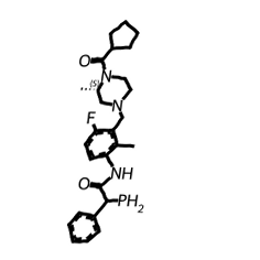 Cc1c(NC(=O)C(P)c2ccccc2)ccc(F)c1CN1CCN(C(=O)C2CCCC2)[C@@H](C)C1